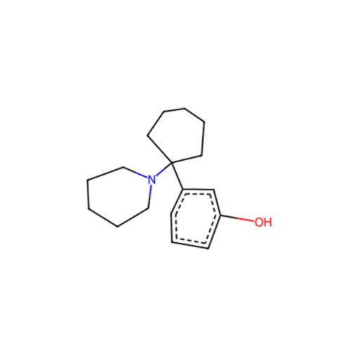 Oc1cccc(C2(N3CCCCC3)CCCCC2)c1